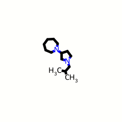 CC(C)CN1CCC(N2CCCCCC2)C1